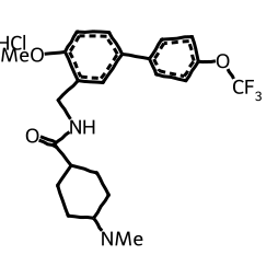 CNC1CCC(C(=O)NCc2cc(-c3ccc(OC(F)(F)F)cc3)ccc2OC)CC1.Cl